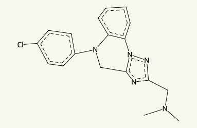 CN(C)Cc1nc2n(n1)-c1ccccc1N(c1ccc(Cl)cc1)C2